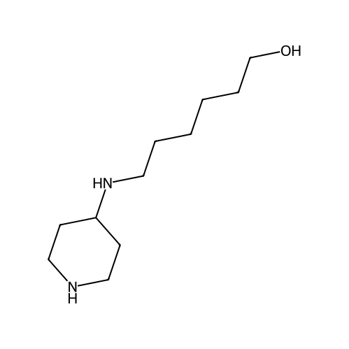 OCCCCCCNC1CCNCC1